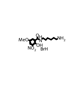 Br.COc1cc(C(=O)NCCCCCCN)c(O)c([N+](=O)[O-])c1